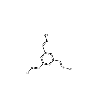 ON=Cc1cc(C=NO)cc(C=NO)c1